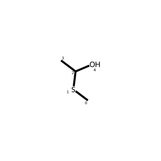 CSC(C)O